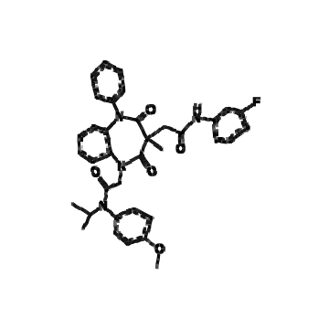 COc1ccc(N(C(=O)CN2C(=O)C(C)(CC(=O)Nc3cccc(F)c3)C(=O)N(c3ccccc3)c3ccccc32)C(C)C)cc1